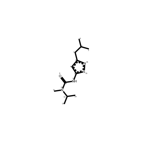 CC(C)Cc1cc(NC(=O)N(C)C(C)C)sn1